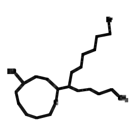 CCCCCC(CCCCCCBr)C1CCCCCCC(O)CC1